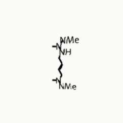 CNN(C)C/C=C/CNN(C)NC